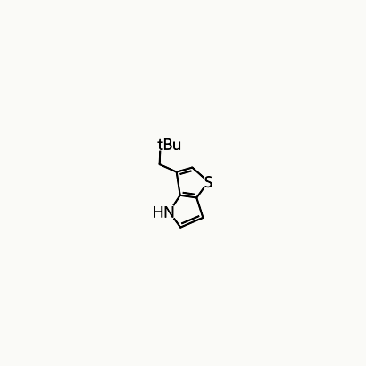 CC(C)(C)Cc1csc2cc[nH]c12